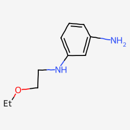 CCOCCNc1cccc(N)c1